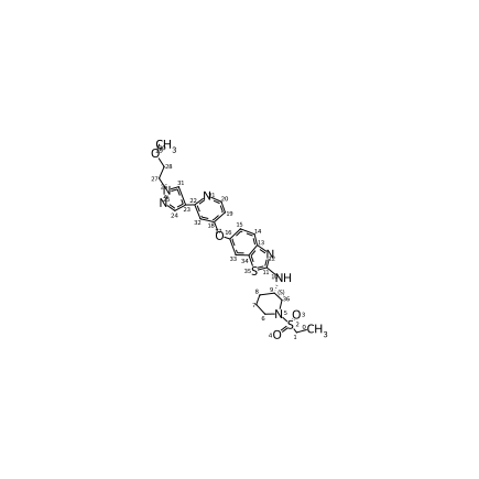 CCS(=O)(=O)N1CCC[C@H](Nc2nc3ccc(Oc4ccnc(-c5cnn(CCOC)c5)c4)cc3s2)C1